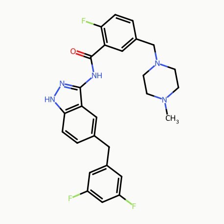 CN1CCN(Cc2ccc(F)c(C(=O)Nc3n[nH]c4ccc(Cc5cc(F)cc(F)c5)cc34)c2)CC1